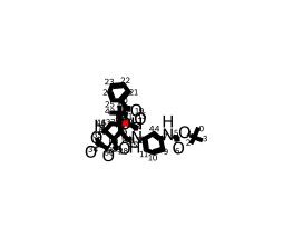 CC(C)(C)OC(=O)Nc1cccc(N2C(=O)[C@H](OC(=O)c3ccccc3)[C@@]34[C@@H]2OC(=O)[C@@]32CC(=O)O[C@H]2C[C@@]4(O)C(C)(C)C)c1